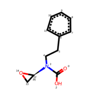 O=C(O)N(CCc1ccccc1)[C@H]1CO1